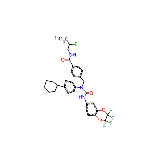 O=C(NCC(F)C(=O)O)c1ccc(CN(C(=O)Nc2ccc3c(c2)OC(F)(F)C(F)(F)O3)c2ccc(C3CCCCC3)cc2)cc1